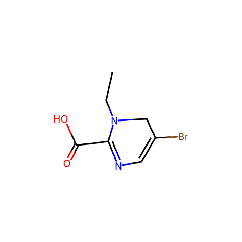 CCN1CC(Br)=CN=C1C(=O)O